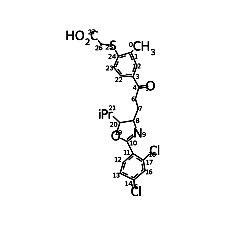 Cc1cc(C(=O)CCC2N=C(c3ccc(Cl)cc3Cl)OC2C(C)C)ccc1SCC(=O)O